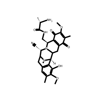 COC1=C(C)C(=O)C2=C(C1=O)[C@H](CNC(=O)[C@H](C)N)N1C(C2)[C@H]2c3c(cc(C)c(OC)c3O)CC([C@@H]1C#N)N2C